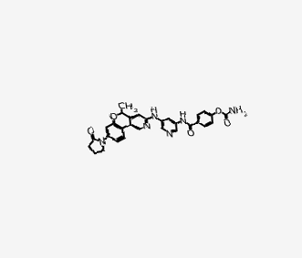 CC1Oc2cc(N3CCCC3=O)ccc2-c2cnc(Nc3cncc(NC(=O)c4ccc(OC(N)=O)cc4)c3)cc21